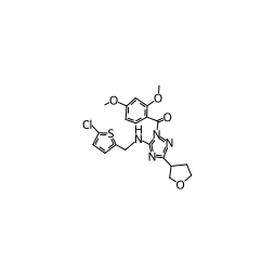 COc1ccc(C(=O)n2nc(C3CCOC3)nc2NCc2ccc(Cl)s2)c(OC)c1